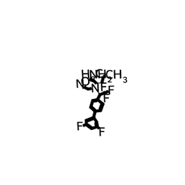 CC(C)C[C@@H](C(N)=O)N(CC#N)[C@@H](c1ccc(-c2cc(F)cc(F)c2)cc1)C(F)(F)F